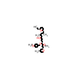 C#CC[C@@H]1C=CC[C@@H](C[C@@H](C)CC(=C)CC(O)/C=C/C[C@H](OCc2ccc(OC)cc2)C(/C=C/[C@@H]2CC(C)=CCO2)OC)O1